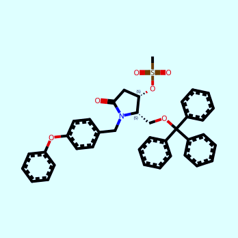 CS(=O)(=O)O[C@H]1CC(=O)N(Cc2ccc(Oc3ccccc3)cc2)[C@H]1COC(c1ccccc1)(c1ccccc1)c1ccccc1